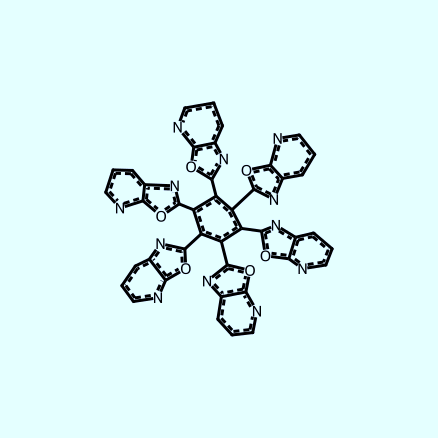 c1cnc2oc(-c3c(-c4nc5cccnc5o4)c(-c4nc5cccnc5o4)c(-c4nc5cccnc5o4)c(-c4nc5cccnc5o4)c3-c3nc4cccnc4o3)nc2c1